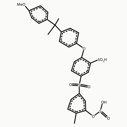 COc1ccc(C(C)(C)c2ccc(Oc3ccc(S(=O)(=O)c4ccc(C)c(OS(=O)O)c4)cc3S(=O)(=O)O)cc2)cc1